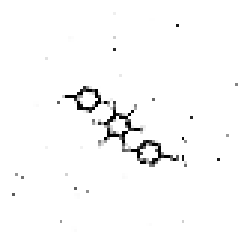 Cc1ccc(Oc2c(F)c(F)c(Oc3ccc(N)cc3)c(F)c2F)cc1